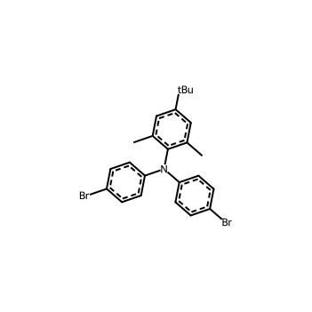 Cc1cc(C(C)(C)C)cc(C)c1N(c1ccc(Br)cc1)c1ccc(Br)cc1